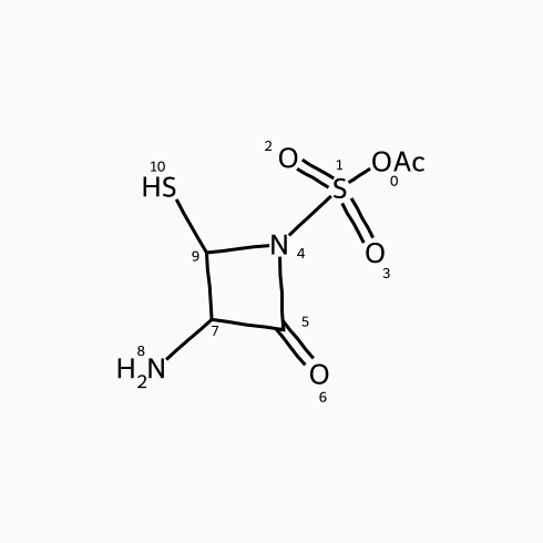 CC(=O)OS(=O)(=O)N1C(=O)C(N)C1S